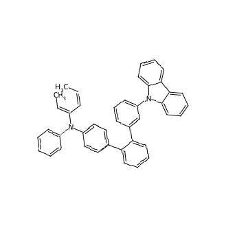 C/C=C\C(=C/C)N(c1ccccc1)c1ccc(-c2ccccc2-c2cccc(-n3c4ccccc4c4ccccc43)c2)cc1